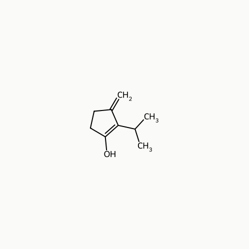 C=C1CCC(O)=C1C(C)C